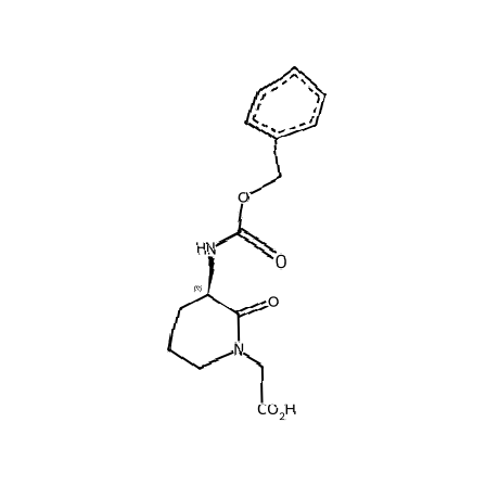 O=C(O)CN1CCC[C@@H](NC(=O)OCc2ccccc2)C1=O